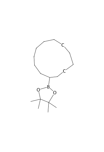 CC1(C)OB(C2CCCCCCCCCCC2)OC1(C)C